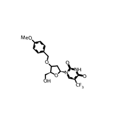 COc1ccc(COC2C[C@@H](n3cc(C(F)(F)F)c(=O)[nH]c3=O)O[C@H]2CO)cc1